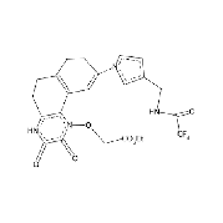 CCOC(=O)COn1c2c([nH]c(=O)c1=O)CCC1=C2C=C(n2ccc(CNC(=O)C(F)(F)F)c2)CC1